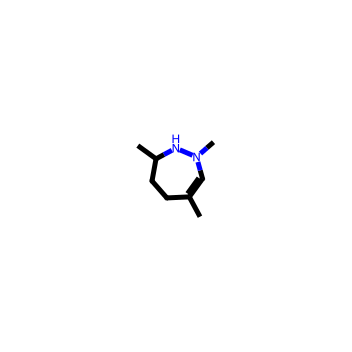 CC1=CN(C)NC(C)CC1